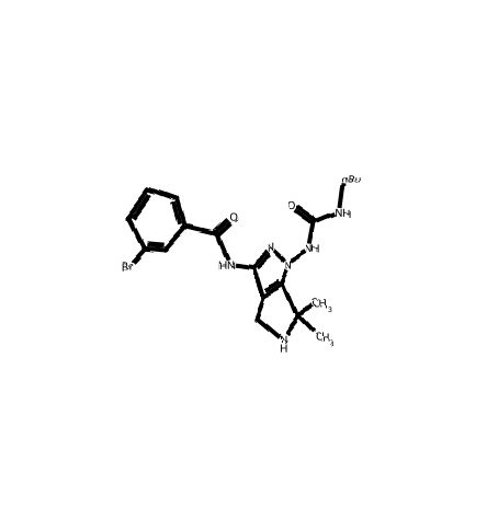 CCCCNC(=O)Nn1nc(NC(=O)c2cccc(Br)c2)c2c1C(C)(C)NC2